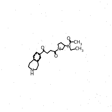 CCN(C(C)=O)C1CCN(C(=O)CCC(=O)c2ccc3c(c2)CCNCC3)C1